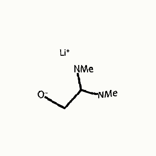 CNC(C[O-])NC.[Li+]